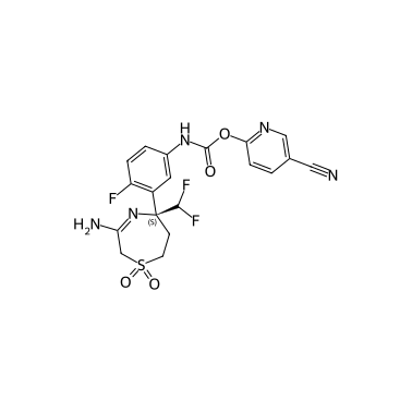 N#Cc1ccc(OC(=O)Nc2ccc(F)c([C@]3(C(F)F)CCS(=O)(=O)CC(N)=N3)c2)nc1